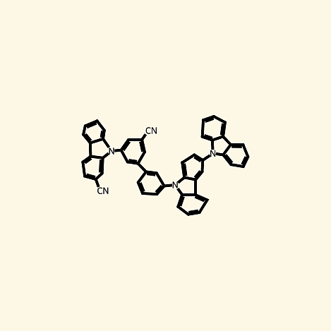 N#Cc1cc(-c2cccc(-n3c4ccccc4c4cc(-n5c6ccccc6c6ccccc65)ccc43)c2)cc(-n2c3ccccc3c3ccc(C#N)cc32)c1